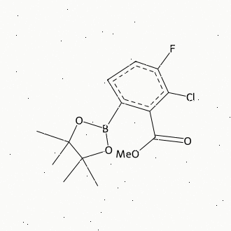 COC(=O)c1c(B2OC(C)(C)C(C)(C)O2)ccc(F)c1Cl